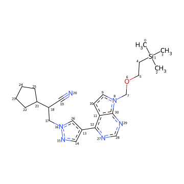 C[Si](C)(C)CCOCn1ccc2c(-c3cnn(CC(C#N)C4CCCC4)c3)ncnc21